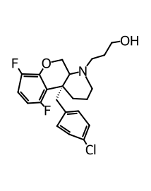 OCCCN1CCC[C@@]2(Cc3ccc(Cl)cc3)c3c(F)ccc(F)c3OCC12